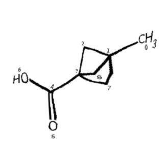 CC12CC(C(=O)O)(C1)C2